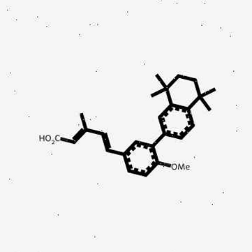 COc1ccc(C=CC(C)=CC(=O)O)cc1-c1ccc2c(c1)C(C)(C)CCC2(C)C